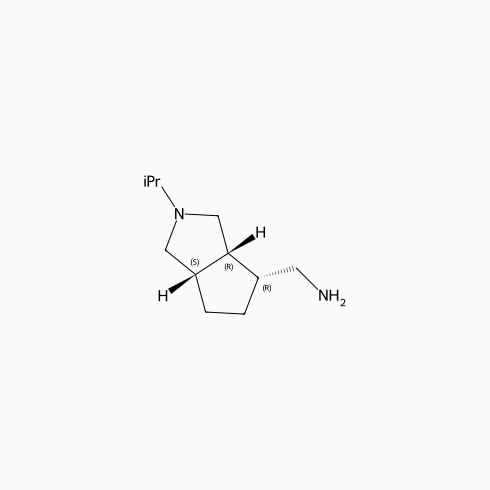 CC(C)N1C[C@H]2CC[C@@H](CN)[C@H]2C1